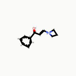 O=C(C=CN1CCC1)c1ccccc1